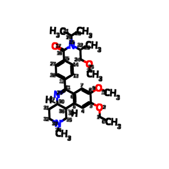 CCOc1cc2c(cc1OC)C(c1ccc(C(=O)N(C(C)C)[C@@H](C)COC)cc1)=N[C@@H]1CCN(C)C[C@H]21